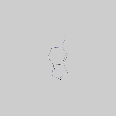 BrN1C=C2C=CN=C2CC1